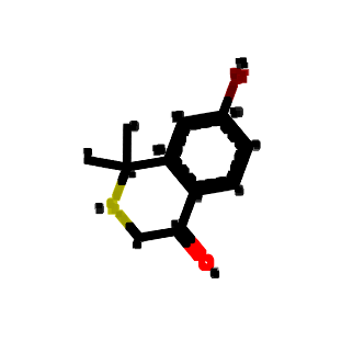 CC1(C)SCC(=O)c2ccc(Br)cc21